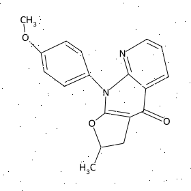 COc1ccc(-n2c3c(c(=O)c4cccnc42)CC(C)O3)cc1